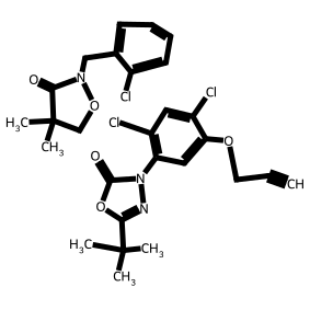 C#CCOc1cc(-n2nc(C(C)(C)C)oc2=O)c(Cl)cc1Cl.CC1(C)CON(Cc2ccccc2Cl)C1=O